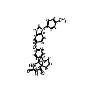 Cc1ccc(-n2cnc3cc(Oc4ccc(N5CCCC56C(=O)NC(=O)NC6=O)cn4)ccc32)cc1